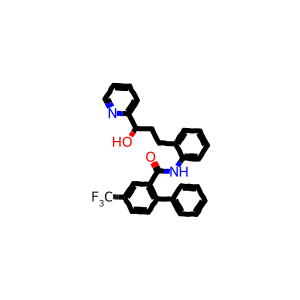 O=C(Nc1ccccc1CCC(O)c1ccccn1)c1cc(C(F)(F)F)ccc1-c1ccccc1